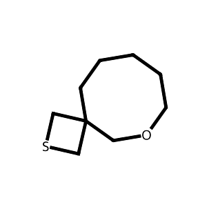 C1CCOCC2(CC1)CSC2